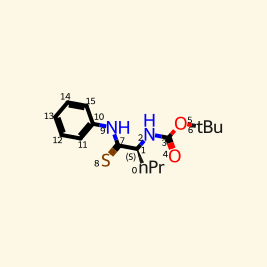 CCC[C@H](NC(=O)OC(C)(C)C)C(=S)Nc1ccccc1